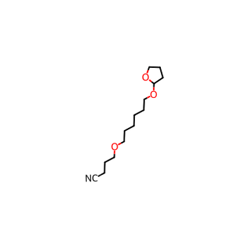 N#CCCCOCCCCCCOC1CCCO1